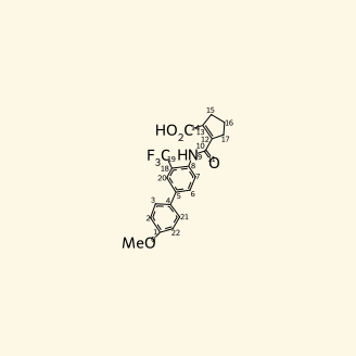 COc1ccc(-c2ccc(NC(=O)C3=C(C(=O)O)CCC3)c(C(F)(F)F)c2)cc1